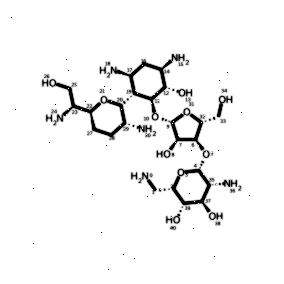 NC[C@@H]1O[C@H](O[C@H]2[C@@H](O)[C@H](O[C@@H]3[C@@H](O)[C@H](N)C[C@H](N)[C@H]3C3O[C@H]([C@@H](N)CO)CC[C@H]3N)O[C@@H]2CO)[C@H](N)[C@@H](O)[C@@H]1O